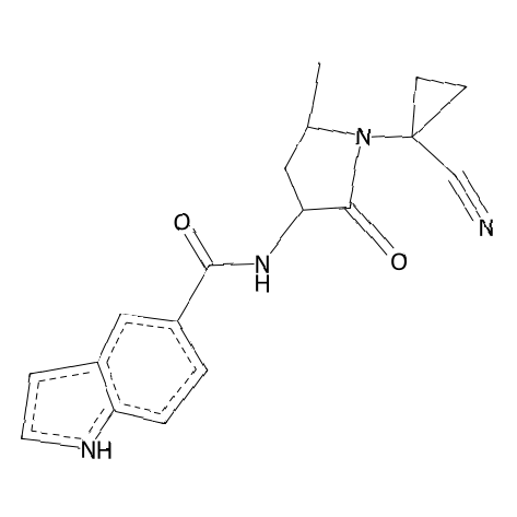 CC1CC(NC(=O)c2ccc3[nH]ccc3c2)C(=O)N1C1(C#N)CC1